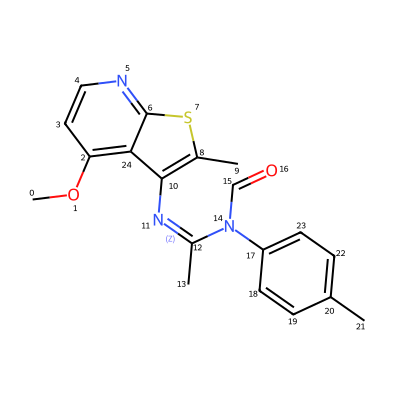 COc1ccnc2sc(C)c(/N=C(/C)N(C=O)c3ccc(C)cc3)c12